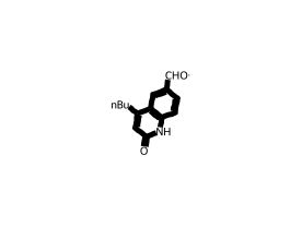 CCCCc1cc(=O)[nH]c2ccc([C]=O)cc12